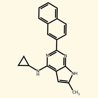 Cc1cc2c(NC3CC3)nc(-c3ccc4ccccc4c3)nc2[nH]1